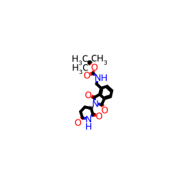 CC(C)(C)OC(=O)NCc1cccc2c1C(=O)N([C@H]1CCC(=O)NC1=O)C2=O